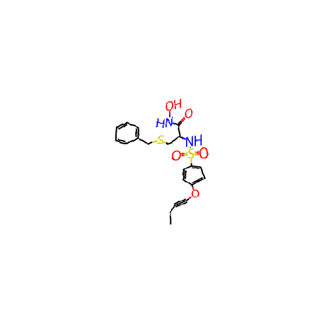 CCC#COc1ccc(S(=O)(=O)NC(CSCc2ccccc2)C(=O)NO)cc1